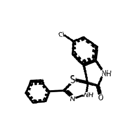 O=C1Nc2ccc(Cl)cc2C12NN=C(c1ccccc1)S2